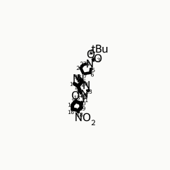 CC(C)(C)OC(=O)N1CCC(n2ncc3c(Oc4ccc([N+](=O)[O-])cc4F)ncnc32)CC1